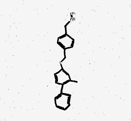 CCCNCc1ccc(CSc2ccc(-c3ccccc3)c(C)c2)cc1